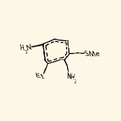 CCc1c(N)ccc(SC)c1N